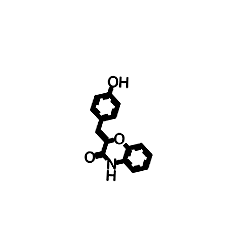 O=C1Nc2ccccc2OC1=Cc1ccc(O)cc1